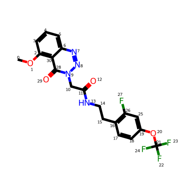 COc1cccc2nnn(CC(=O)NCCc3ccc(OC(F)(F)F)cc3F)c(=O)c12